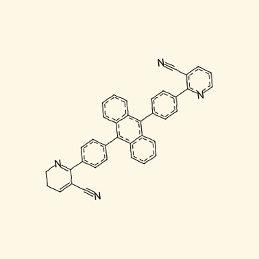 N#CC1=CCCN=C1c1ccc(-c2c3ccccc3c(-c3ccc(-c4ncccc4C#N)cc3)c3ccccc23)cc1